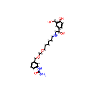 NC(=O)Nc1cccc(COCCOCCCCCCNC[C@H](O)c2ccc(O)c(CO)c2)c1